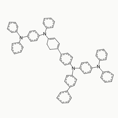 C1=C(c2ccc(N(c3ccc(-c4ccccc4)cc3)c3ccc(N(c4ccccc4)c4ccccc4)cc3)cc2)CCC(N(c2ccccc2)c2ccc(N(c3ccccc3)c3ccccc3)cc2)=C1